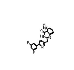 Nc1cccc2nc(Cc3ccc(-c4cc(F)cc(F)c4)nc3)[nH]c(=O)c12